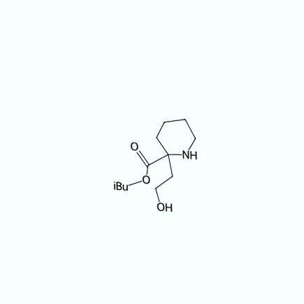 CCC(C)OC(=O)C1(CCO)CCCCN1